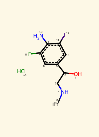 CC(C)NCC(O)c1cc(F)c(N)c(I)c1.Cl